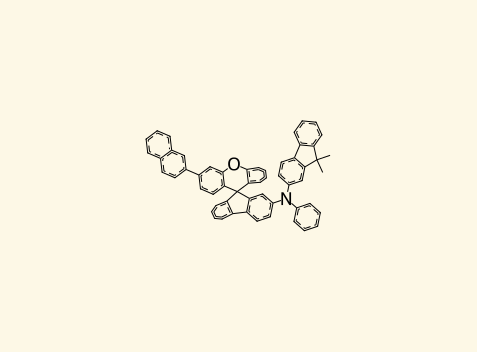 CC1(C)c2ccccc2-c2ccc(N(c3ccccc3)c3ccc4c(c3)C3(c5ccccc5Oc5cc(-c6ccc7ccccc7c6)ccc53)c3ccccc3-4)cc21